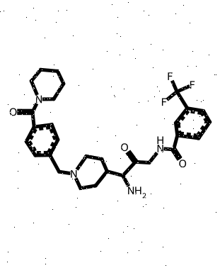 NC(C(=O)CNC(=O)c1cccc(C(F)(F)F)c1)C1CCN(Cc2ccc(C(=O)N3CCCCC3)cc2)CC1